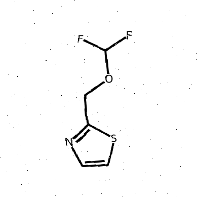 FC(F)OCc1nccs1